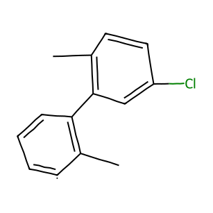 Cc1[c]cccc1-c1cc(Cl)ccc1C